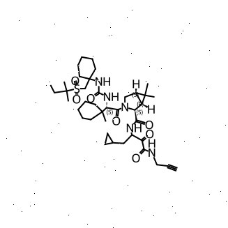 C#CCNC(=O)C(=O)C(CC1CC1)NC(=O)[C@@H]1[C@@H]2[C@H](CN1C(=O)[C@@H](NC(=O)NC1(CS(=O)(=O)C(C)(C)CC)CCCCC1)C1(C)CCCCC1)C2(C)C